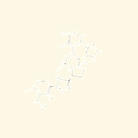 [2H][C@]12CC[C@@H](c3ncc(-c4cc[n+]([O-])c(CO)c4F)[nH]3)N1C(=O)C=C(c1c(-n3cnnn3)ccc(Cl)c1F)C2